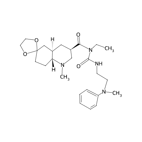 CCN(C(=O)NCCN(C)c1ccccc1)C(=O)[C@@H]1C[C@@H]2CC3(CC[C@H]2N(C)C1)OCCO3